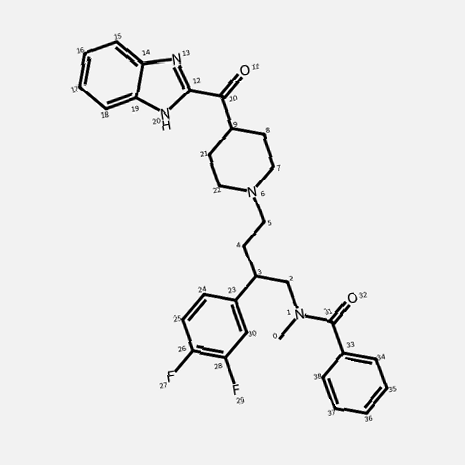 CN(CC(CCN1CCC(C(=O)c2nc3ccccc3[nH]2)CC1)c1ccc(F)c(F)c1)C(=O)c1ccccc1